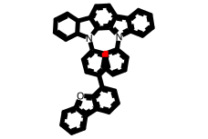 C1=CC2c3ccc4c5ccccc5n(-c5ccccc5)c4c3N(c3ccc(-c4cccc5c4oc4ccccc45)cc3)C2C=C1